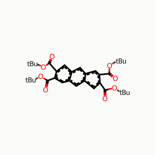 CC(C)(C)OC(=O)c1cc2cc3cc(C(=O)OC(C)(C)C)c(C(=O)OC(C)(C)C)cc3cc2cc1C(=O)OC(C)(C)C